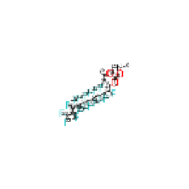 CC(C)O[SiH](OCC(F)C(F)(F)C(F)(F)C(F)(F)C(F)(F)C(F)(F)C(F)(F)C(F)C(F)C(F)F)OC(C)C